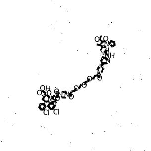 CC(=O)c1c(C)c2cnc(Nc3ccc(N4CCN(C(=O)CCOCCOCCOCCC(=O)N5CCN(S(=O)(=O)CC(N6C(=O)[C@@](C)(CC(=O)O)C[C@H](c7cccc(Cl)c7)[C@H]6c6ccc(Cl)cc6)C(C)(C)C)CC5)CC4)cn3)nc2n(C2CCCC2)c1=O